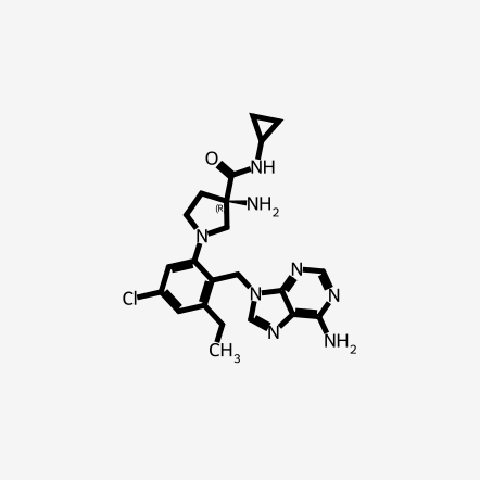 CCc1cc(Cl)cc(N2CC[C@](N)(C(=O)NC3CC3)C2)c1Cn1cnc2c(N)ncnc21